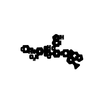 O=C(NS(=O)(=O)c1ccc(NCC2CCOCC2)c([N+](=O)[O-])c1)c1ccc(N2CCC3(CC2)CC(CC2CCCN2c2ccccc2C2CC2)C3)cc1Oc1cnc2[nH]ccc2c1